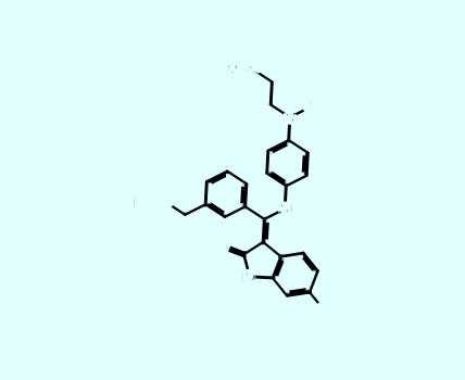 CNCCN(C(C)=O)c1ccc(NC(=C2C(=O)Nc3cc(Cl)ccc32)c2cccc(CC(=O)O)c2)cc1